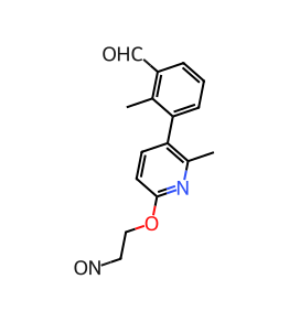 Cc1nc(OCCN=O)ccc1-c1cccc(C=O)c1C